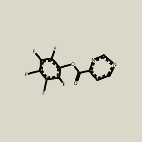 O=C(Oc1c(F)c(F)c(F)c(F)c1F)c1ccncn1